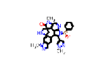 CN1C(=O)C2(CCNC2)c2c1cnc1c2c(-c2ccc3c(cnn3C)c2)c(-c2cnn(C)c2)n1[S+]([O-])c1ccccc1